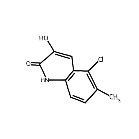 Cc1ccc2[nH]c(=O)c(O)cc2c1Cl